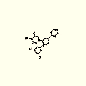 Cc1nccc(-c2cccc(N(CC(=O)OC(C)(C)C)C(=O)c3c(Cl)cc(Cl)cc3Cl)c2)n1